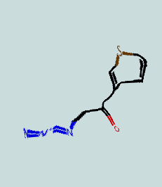 [N-]=[N+]=NCC(=O)c1ccsc1